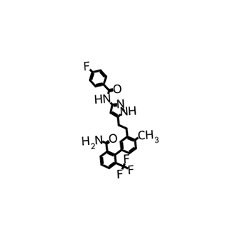 Cc1ccc(-c2c(C(N)=O)cccc2C(F)(F)F)cc1CCc1cc(NC(=O)c2ccc(F)cc2)n[nH]1